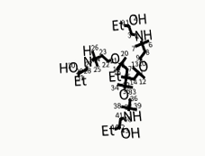 CCC(O)CNC(C)(C)CCOC(C)(C)CC(CC)(CC(C)(C)OCCC(C)(C)NCC(O)CC)C(C)(C)OCC(C)(C)NCC(O)CC